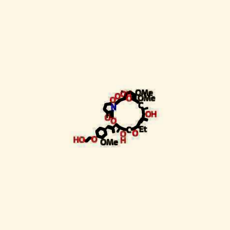 CC[C@@H]1/C=C(\C)[C@@H](O)[C@H](C)C[C@H](OC)[C@H]2O[C@@](O)(C(=O)C(=O)N3CCCC[C@H]3C(=O)O[C@H](/C(C)=C/[C@@H]3CC[C@@H](OCCO)[C@H](OC)C3)[C@H](C)[C@@H](O)CC1=O)[C@H](C)C[C@@H]2OC